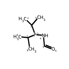 CC(C)P(NC=O)C(C)C